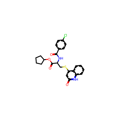 O=C(NC(CSc1cc(=O)[nH]c2ccccc12)C(=O)OC1CCCC1)c1ccc(Cl)cc1